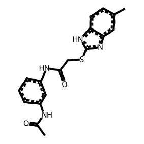 CC(=O)Nc1cccc(NC(=O)CSc2nc3cc(C)ccc3[nH]2)c1